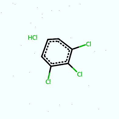 Cl.Clc1cccc(Cl)c1Cl